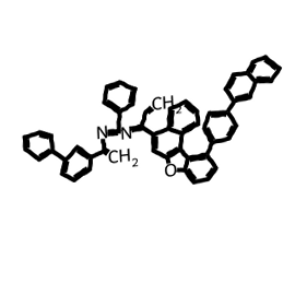 C=C/C(=N\C(=N/C(=C)c1cccc(-c2ccccc2)c1)c1ccccc1)c1cc2oc3cccc(-c4ccc(-c5ccc6ccccc6c5)cc4)c3c2c2ccccc12